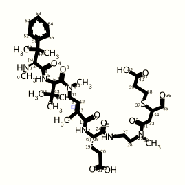 CN[C@H](C(=O)NC(C(=O)N(C)C/C=C(\C)C(=O)N[C@@H](CCC(=O)O)C(=O)NCCN(C)C(=O)CC(C=O)SCCC(=O)O)C(C)(C)C)C(C)(C)c1ccccc1